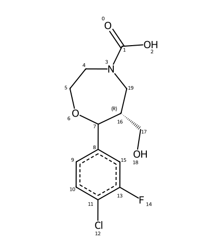 O=C(O)N1CCOC(c2ccc(Cl)c(F)c2)[C@@H](CO)C1